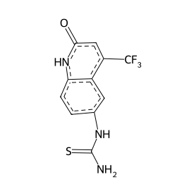 NC(=S)Nc1ccc2[nH]c(=O)cc(C(F)(F)F)c2c1